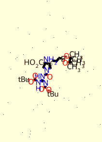 CC(C)(C)OC(=O)N=C(NC(=O)OC(C)(C)C)NC(=O)N1C[C@@H](CCCB2OC(C)(C)C(C)(C)O2)[C@@](N)(C(=O)O)C1